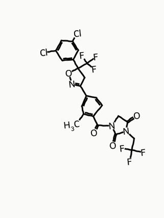 Cc1cc(C2=NOC(c3cc(Cl)cc(Cl)c3)(C(F)(F)F)C2)ccc1C(=O)N1CC(=O)N(CC(F)(F)F)C1=O